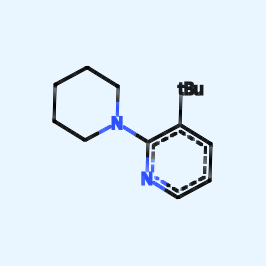 CC(C)(C)c1cccnc1N1CCCCC1